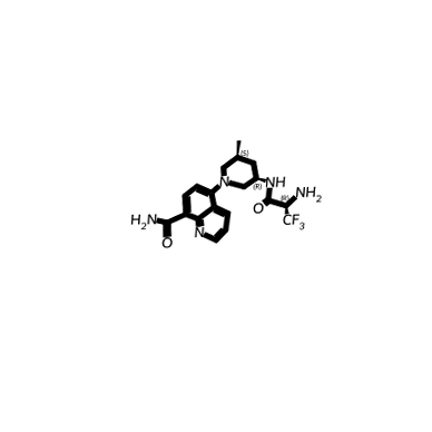 C[C@H]1C[C@@H](NC(=O)[C@@H](N)C(F)(F)F)CN(c2ccc(C(N)=O)c3ncccc23)C1